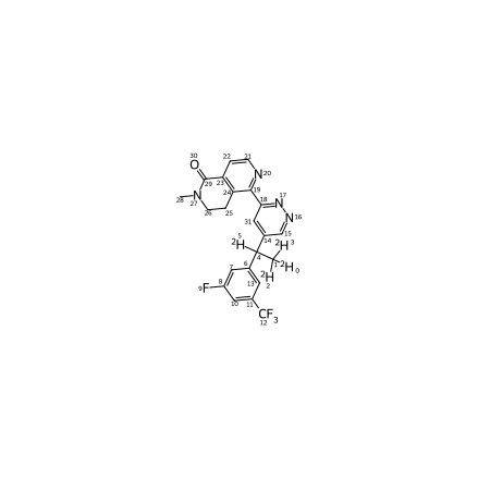 [2H]C([2H])([2H])C([2H])(c1cc(F)cc(C(F)(F)F)c1)c1cnnc(-c2nccc3c2CCN(C)C3=O)c1